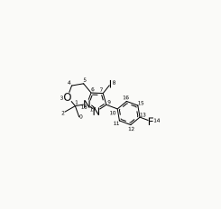 CC1(C)OCCc2c(I)c(-c3ccc(F)cc3)nn21